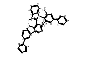 Cc1ccc2c(oc3ccc(-c4ccccc4)cc32)c1-c1n(-c2c(C(C)C)cc(-c3ccccc3)cc2C(C)C)c2ccccc2[n+]1C